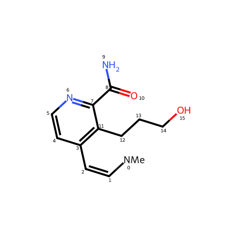 CN/C=C\c1ccnc(C(N)=O)c1CCCO